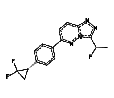 CC(F)c1nnc2ccc(-c3ccc([C@@H]4CC4(F)F)cc3)nn12